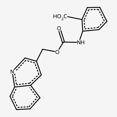 O=C(Nc1ccccc1C(=O)O)OCc1cnc2ccccc2c1